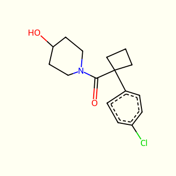 O=C(N1CCC(O)CC1)C1(c2ccc(Cl)cc2)CCC1